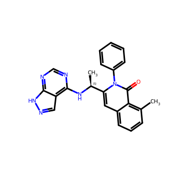 Cc1cccc2cc([C@H](C)Nc3ncnc4[nH]ncc34)n(-c3ccccc3)c(=O)c12